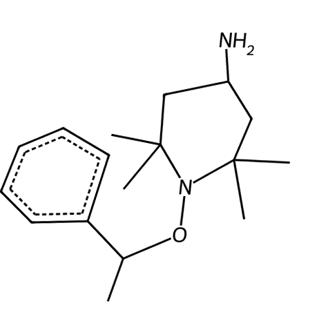 CC(ON1C(C)(C)CC(N)CC1(C)C)c1ccccc1